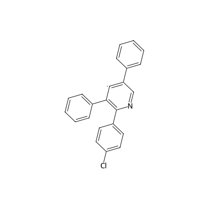 Clc1ccc(-c2ncc(-c3ccccc3)[c]c2-c2ccccc2)cc1